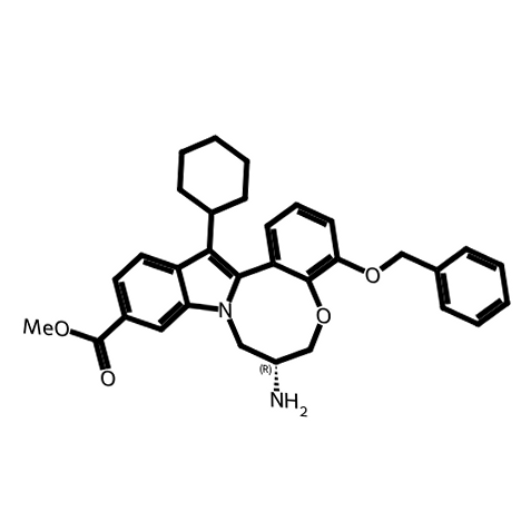 COC(=O)c1ccc2c(C3CCCCC3)c3n(c2c1)C[C@@H](N)COc1c(OCc2ccccc2)cccc1-3